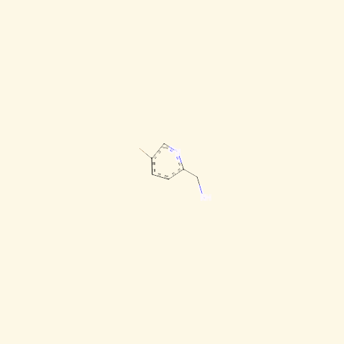 [NH]Cc1ccc(Br)cn1